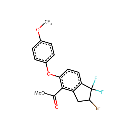 COC(=O)c1c(Oc2ccc(OC(F)(F)F)cc2)ccc2c1CC(Br)C2(F)F